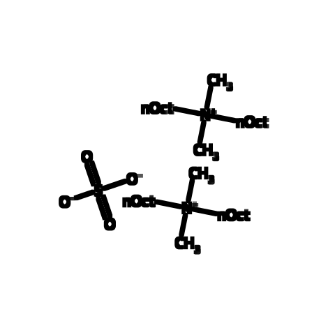 CCCCCCCC[N+](C)(C)CCCCCCCC.CCCCCCCC[N+](C)(C)CCCCCCCC.O=S(=O)([O-])[O-]